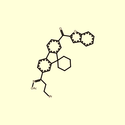 CC(=O)O/N=C(\CCC(C)C)c1ccc2c(c1)C1(CCCCC1)c1cc(C(=O)c3cc4ccccc4o3)ccc1-2